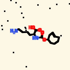 NCCCC[C@H](NC(=O)OC1C/C=C/CCCC1)C(=O)O